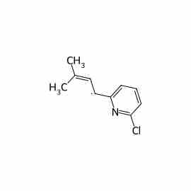 CC(C)=C[CH]c1cccc(Cl)n1